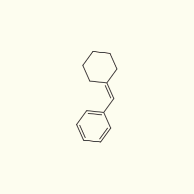 C(=C1CCCCC1)c1ccccc1